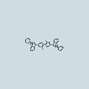 Cc1cc(-c2cn(-c3ccccc3)c3ccccc23)ccc1-c1ccc(-c2cn(C3C=CC=CC3)c3ccccc23)cc1C